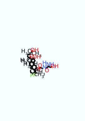 CC(C)(O)[C@@H]1CC[C@@](C)([C@H]2[C@@H](O)C[C@@]3(C)[C@@H]4C[C@H](OC(=O)CNC(=O)[C@@H](N)CO)[C@H]5C(C)(C)C(F)(F)CC[C@@]56C[C@@]46CC[C@]23C)O1